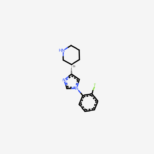 Fc1ccccc1-n1cnc([C@H]2CCCNC2)c1